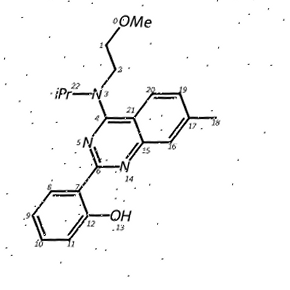 COCCN(c1nc(-c2ccccc2O)nc2cc(C)ccc12)C(C)C